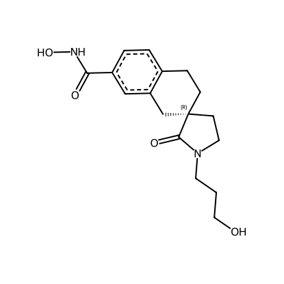 O=C(NO)c1ccc2c(c1)C[C@]1(CC2)CCN(CCCO)C1=O